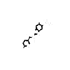 COc1cc2nc(NC(=O)c3ccc(Br)nc3)sc2cc1C(=O)O